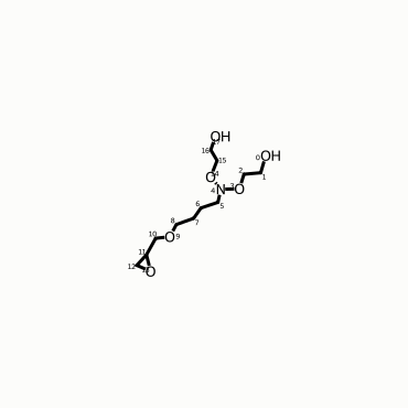 OCCON(CCCCOCC1CO1)OCCO